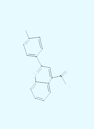 O=C(Cl)c1cc(-c2ccc(F)cc2)nc2ccccc12